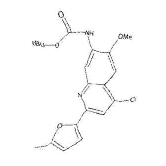 COc1cc2c(Cl)cc(-c3ccc(C)o3)nc2cc1NC(=O)OC(C)(C)C